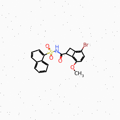 COc1ccc(Br)c2c1C(C(=O)NS(=O)(=O)c1cccc3ccccc13)C2